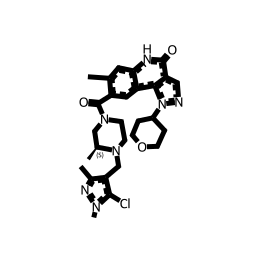 Cc1cc2[nH]c(=O)c3cnn(C4CCOCC4)c3c2cc1C(=O)N1CCN(Cc2c(C)nn(C)c2Cl)[C@@H](C)C1